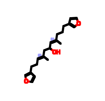 C/C(=C\C(O)C/C(C)=C/CCc1ccoc1)CCCc1ccoc1